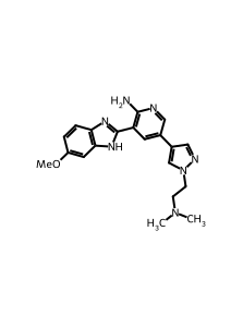 COc1ccc2nc(-c3cc(-c4cnn(CCN(C)C)c4)cnc3N)[nH]c2c1